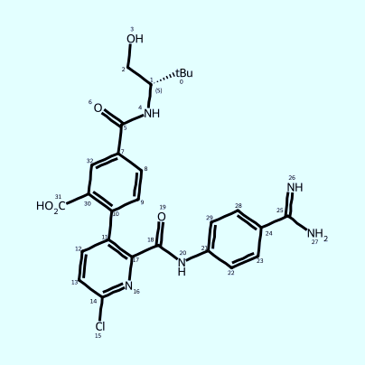 CC(C)(C)[C@@H](CO)NC(=O)c1ccc(-c2ccc(Cl)nc2C(=O)Nc2ccc(C(=N)N)cc2)c(C(=O)O)c1